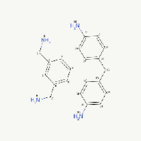 NCc1cccc(CN)c1.Nc1ccc(Cc2ccc(N)cc2)cc1